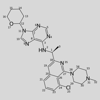 C[C@H](Nc1ncnc2c1ncn2C1CCCCO1)c1cc2cccc(Cl)c2c(N2CCN(C)CC2)n1